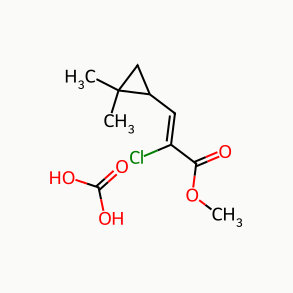 COC(=O)C(Cl)=CC1CC1(C)C.O=C(O)O